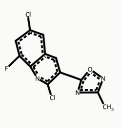 Cc1noc(-c2cc3cc(Cl)cc(F)c3nc2Cl)n1